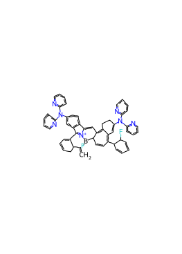 C=CC1CC=CC=C1C1=[N+]2B(F)C3C=CC(C4C=CC=CC4F)=C4C=C(N(c5ccccn5)c5ccccn5)CCC4=C3C=C2c2ccc(N(c3ccccn3)c3ccccn3)cc21